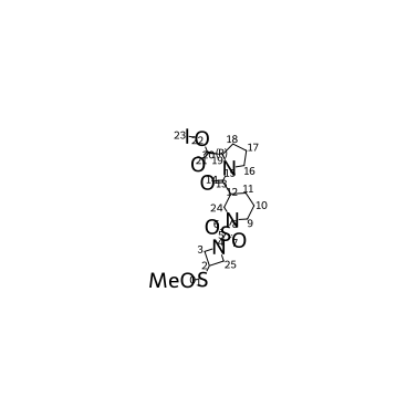 COSC1CN(S(=O)(=O)N2CCCC(C(=O)N3CCC[C@@H]3C(=O)OI)C2)C1